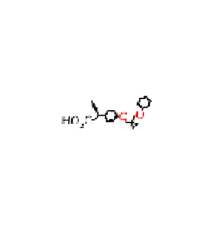 CC#CC(CC(=O)O)c1ccc(OCC2(COc3ccccc3)CC2)cc1